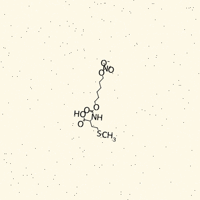 CSCCC(NC(=O)OCCCCCCO[N+](=O)[O-])C(=O)O